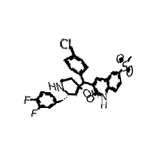 CS(=O)(=O)c1ccc2[nH]c(=O)c(C(c3ccc(Cl)cc3)C3(O)CCN[C@@H](Cc4ccc(F)c(F)c4)C3)cc2c1